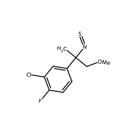 COCC(C)(N=S)c1ccc(F)c(Cl)c1